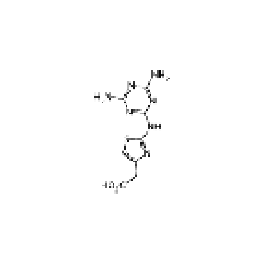 Nc1nc(N)nc(Nc2nc(CC(=O)O)cs2)n1